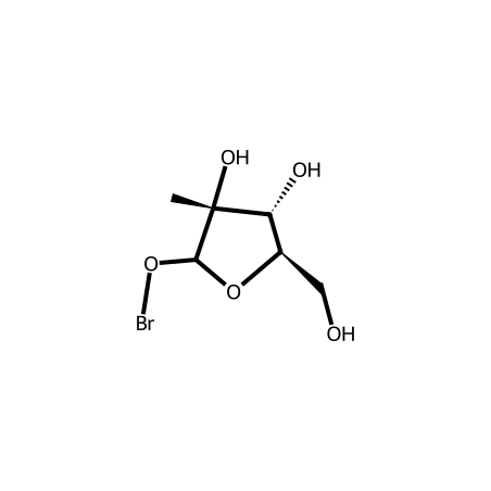 C[C@]1(O)C(OBr)O[C@H](CO)[C@H]1O